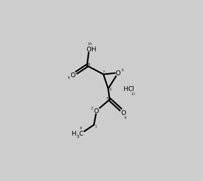 CCOC(=O)C1OC1C(=O)O.Cl